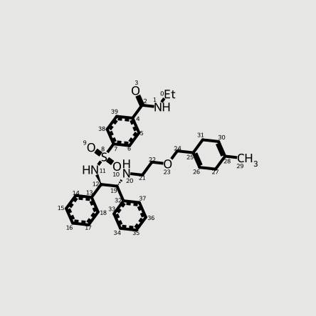 CCNC(=O)c1ccc(S(=O)(=O)N[C@H](c2ccccc2)[C@H](NCCOCC2=CCC(C)=CC2)c2ccccc2)cc1